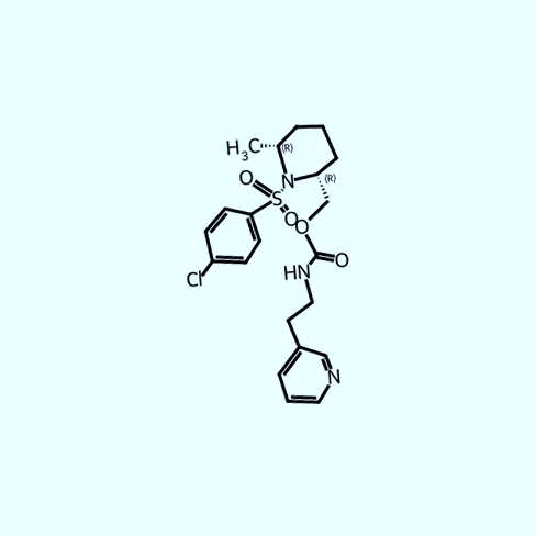 C[C@@H]1CCC[C@H](COC(=O)NCCc2cccnc2)N1S(=O)(=O)c1ccc(Cl)cc1